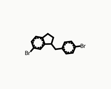 Brc1ccc(CC2CCc3ccc(Br)cc32)cc1